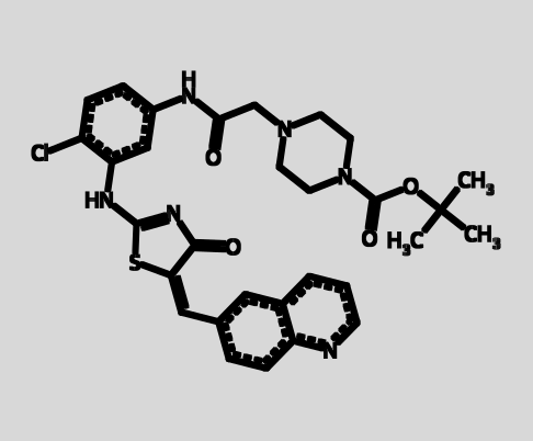 CC(C)(C)OC(=O)N1CCN(CC(=O)Nc2ccc(Cl)c(NC3=NC(=O)C(=Cc4ccc5ncccc5c4)S3)c2)CC1